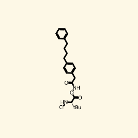 CC(C)(C)[C@H](NCl)C(=O)ONC(=O)Cc1ccc(CCCCc2ccccc2)cc1